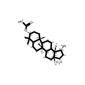 CCCC(=O)O[C@@H]1CC[C@@]2(C)C(CC[C@]3(C)C2CCC2[C@@H]4[C@H](C(C)C)CC[C@]4(C(=O)O)CC[C@]23C)C1(C)C